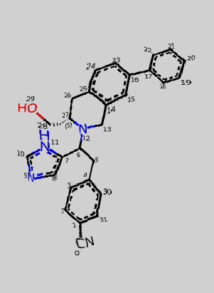 N#Cc1ccc(CC(c2cnc[nH]2)N2Cc3cc(-c4ccccc4)ccc3C[C@H]2CO)cc1